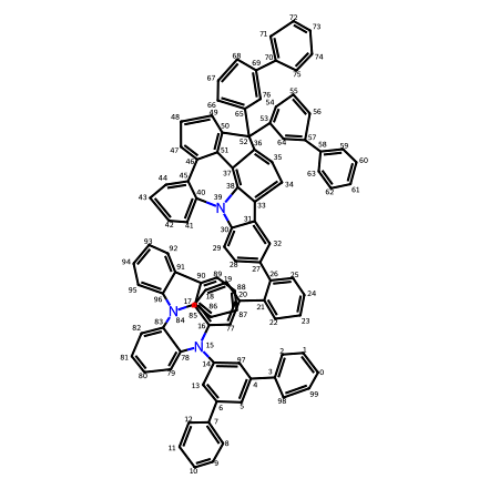 c1ccc(-c2cc(-c3ccccc3)cc(N(c3cccc(-c4ccccc4-c4ccc5c(c4)c4ccc6c7c4n5-c4ccccc4-c4cccc(c4-7)C6(c4cccc(-c5ccccc5)c4)c4cccc(-c5ccccc5)c4)c3)c3ccccc3-n3c4ccccc4c4ccccc43)c2)cc1